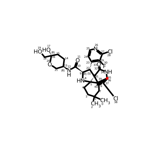 CC1(C)CCC2(CC1)N[C@@H](C(=O)N[C@@H]1CC[C@](O)(CO)OC1)[C@H](c1ccnc(Cl)c1F)[C@]21C(=O)Nc2cc(Cl)ccc21